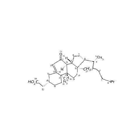 CC(C)CCC[C@@H](C)[C@H]1CC[C@H]2[C@@H]3C(=O)C=C4C[C@@H](CC(=O)O)CC[C@]4(C)[C@H]3CC[C@]12C